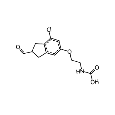 O=CC1Cc2cc(OCCNC(=O)O)cc(Cl)c2C1